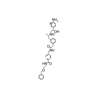 C=C(/C=C\C(=C/C)CNC(=O)Cc1cccc(C[C@@H](C)NC[C@H](O)c2ccc(N)nc2)c1)C(=O)NCCOCc1ccccc1